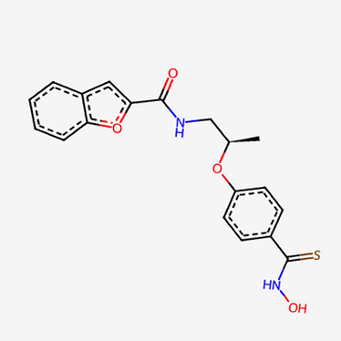 C[C@H](CNC(=O)c1cc2ccccc2o1)Oc1ccc(C(=S)NO)cc1